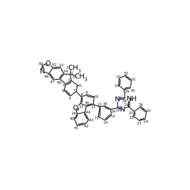 CC1(C)C2=C(C=CC(c3ccc(-c4cccc(C(=N/C(=N)c5ccccc5)/N=C/c5ccccc5)c4)c4c3oc3ccccc34)C2)c2cc3ncoc3cc21